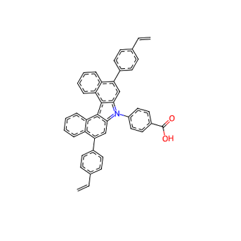 C=Cc1ccc(-c2cc3c(c4ccccc24)c2c4ccccc4c(-c4ccc(C=C)cc4)cc2n3-c2ccc(C(=O)O)cc2)cc1